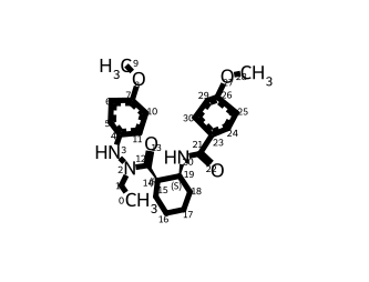 CCN(Nc1ccc(OC)cc1)C(=O)[C@@H]1CCCC[C@@H]1NC(=O)c1ccc(OC)cc1